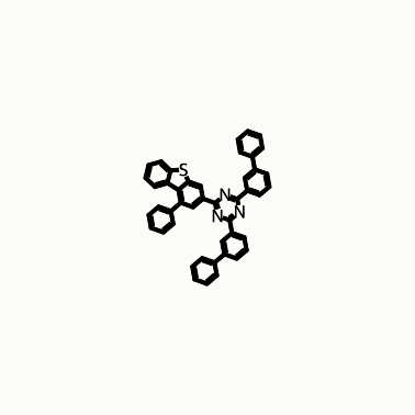 c1ccc(-c2cccc(-c3nc(-c4cccc(-c5ccccc5)c4)nc(-c4cc(-c5ccccc5)c5c(c4)sc4ccccc45)n3)c2)cc1